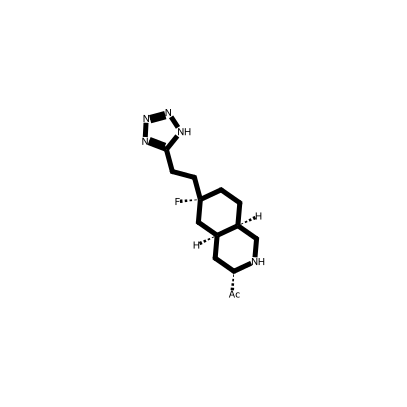 CC(=O)[C@@H]1C[C@H]2C[C@@](F)(CCc3nnn[nH]3)CC[C@H]2CN1